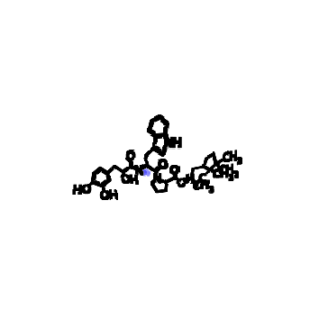 CC(CC1CCC(C)(C)C1(C)C)OC(=O)C1CCCN1C(=O)/C(Cc1c[nH]c2ccccc12)=N/C(=O)C(O)Cc1ccc(O)c(O)c1